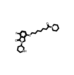 O=C(CCCCCCSc1ccc(F)c2c1CN(C1CCCNC1)C2=O)N1CCCCC1